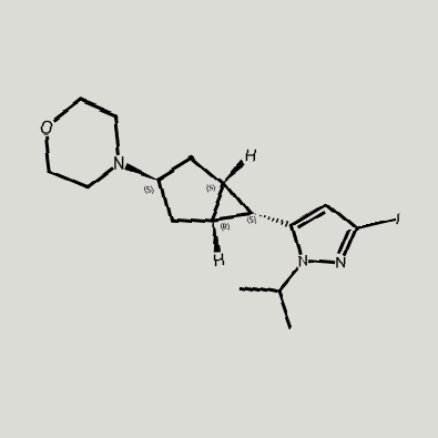 CC(C)n1nc(I)cc1[C@@H]1[C@@H]2C[C@@H](N3CCOCC3)C[C@@H]21